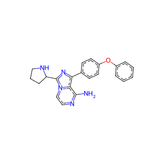 Nc1nccn2c(C3CCCN3)nc(-c3ccc(Oc4ccccc4)cc3)c12